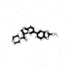 Cc1nc2cc(-c3ccc4ncc(C(=O)N5CCOCC5)n4c3)ccc2o1